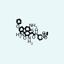 C=CS(=O)(=O)N1CCCC(NC(=O)c2sc3c(N)ccc4c3c2C(N)C(=O)C4(N)c2ccc(Oc3ccccc3)cc2C)C1